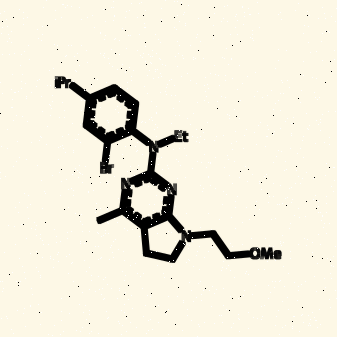 CCN(c1nc(C)c2c(n1)N(CCOC)CC2)c1ccc(C(C)C)cc1Br